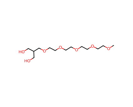 COCCOCCOCCOCCOCC(CO)CO